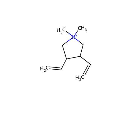 C=CC1C[N+](C)(C)CC1C=C